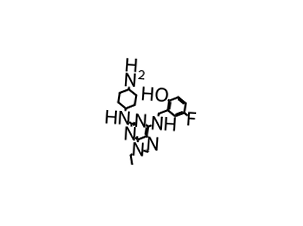 CCn1cnc2c(NCc3cc(F)ccc3O)nc(NC3CCC(N)CC3)nc21